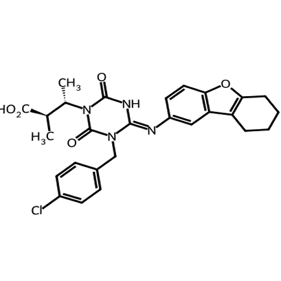 C[C@@H](C(=O)O)[C@H](C)n1c(=O)[nH]/c(=N\c2ccc3oc4c(c3c2)CCCC4)n(Cc2ccc(Cl)cc2)c1=O